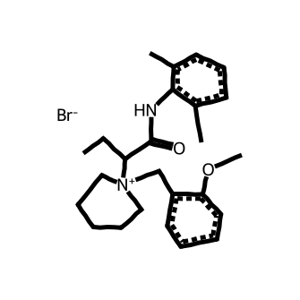 CCC(C(=O)Nc1c(C)cccc1C)[N+]1(Cc2ccccc2OC)CCCCC1.[Br-]